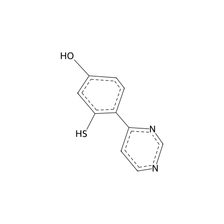 Oc1ccc(-c2ccncn2)c(S)c1